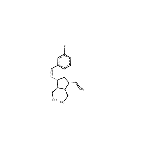 C=C[C@H]1C[C@@H](/C=C\c2cccc(F)c2)[C@H](CO)[C@@H]1CO